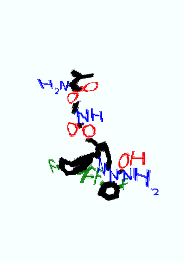 CC(C)[C@H](N)C(=O)OCCNC(=O)OCc1ccc(N(c2c(F)cccc2F)C(N)O)nc1-c1ccc(F)cc1F